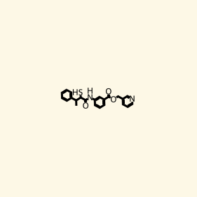 CC(c1ccccc1)C(S)C(=O)Nc1cccc(C(=O)OCc2cccnc2)c1